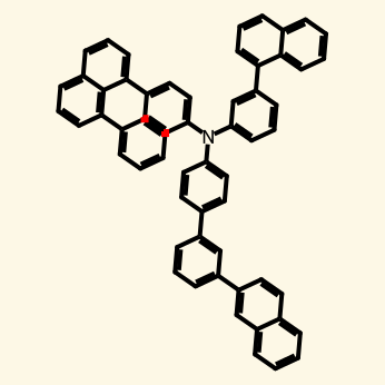 c1ccc(-c2cccc3cccc(-c4ccc(N(c5ccc(-c6cccc(-c7ccc8ccccc8c7)c6)cc5)c5cccc(-c6cccc7ccccc67)c5)cc4)c23)cc1